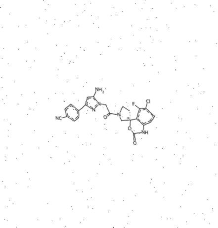 N#Cc1ccc(-c2cc(N)n(CC(=O)N3CC[C@@]4(C3)OC(=O)Nc3ccc(Cl)c(F)c34)n2)cc1